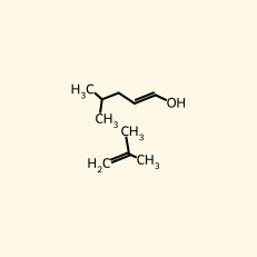 C=C(C)C.CC(C)CC=CO